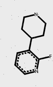 Fc1ncccc1C1CC[N]CC1